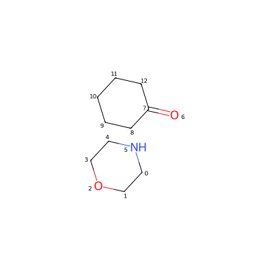 C1COCCN1.O=C1CCCCC1